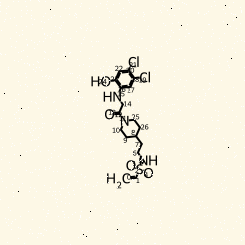 C=CS(=O)(=O)NCCC1CCN(C(=O)CNc2cc(Cl)c(Cl)cc2O)CC1